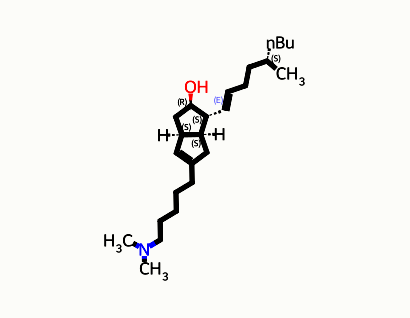 CCCC[C@H](C)CC/C=C/[C@@H]1[C@H]2CC(CCCCCN(C)C)=C[C@H]2C[C@H]1O